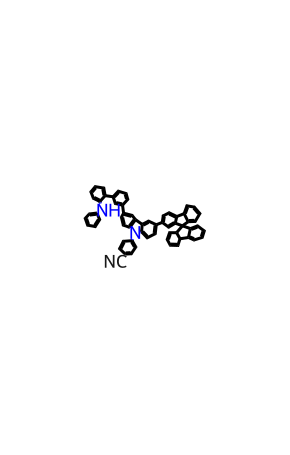 N#Cc1ccc(-n2c3ccc(-c4cccc(-c5ccccc5Nc5ccccc5)c4)cc3c3cc(-c4ccc5c(c4)C4(c6ccccc6-5)c5ccccc5C5C=CC=CC54)ccc32)cc1